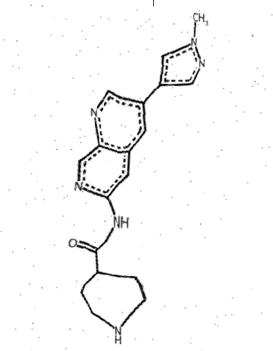 Cn1cc(-c2cnc3cnc(NC(=O)C4CCNCC4)cc3c2)cn1